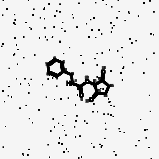 O=C(NCc1ccccc1)ON1C(=O)CCC1=O